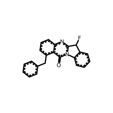 O=c1c2c(Cc3ccccc3)cccc2nc2n1-c1ccccc1C2F